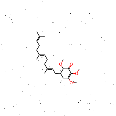 COC1=C(OC)[C@H](C)[C@@H](C/C=C(\C)CC/C=C(\C)CCC=C(C)C)C(OC)C1=O